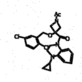 CC(=O)N1CC(OCc2cc(Cl)ccc2Cl)(C(=O)N2CCN(C3CC3)c3ccccc32)C1